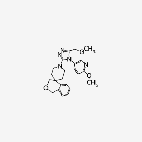 COCc1nnc(N2CCC3(CC2)COCc2ccccc23)n1-c1ccc(OC)nc1